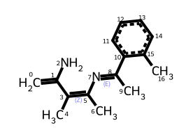 C=C(N)/C(C)=C(C)\N=C(/C)c1ccccc1C